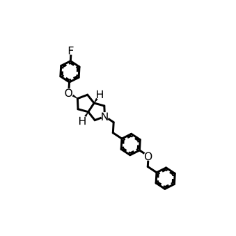 Fc1ccc(O[C@H]2C[C@@H]3CN(CCc4ccc(OCc5ccccc5)cc4)C[C@@H]3C2)cc1